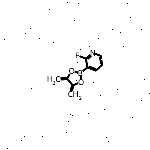 C=C1OB(c2cccnc2F)OC1=C